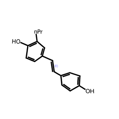 CCCc1cc(/C=C/c2ccc(O)cc2)ccc1O